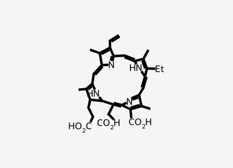 C=CC1=C(C)C2=CC3=C(C)C(CCC(=O)O)C(N3)C(CC(=O)O)=C3N=C(C=c4[nH]c(c(C)c4CC)=CC1=N2)C(C)=C3C(=O)O